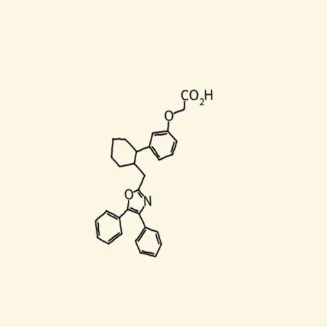 O=C(O)COc1cccc(C2CCCCC2Cc2nc(-c3ccccc3)c(-c3ccccc3)o2)c1